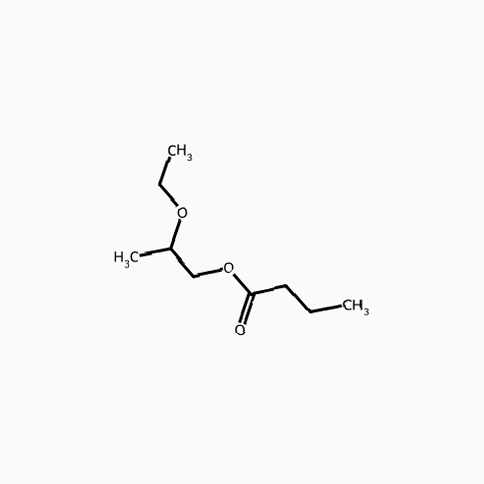 CCCC(=O)OCC(C)OCC